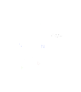 COc1nc2c(Br)c(F)cnc2cc1F